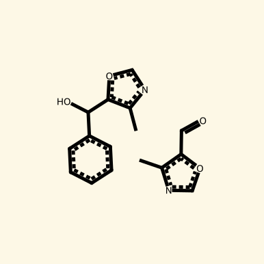 Cc1ncoc1C(O)c1ccccc1.Cc1ncoc1C=O